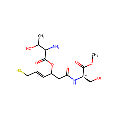 COC(=O)[C@@H](CO)NC(=O)CC(/C=C/CS)OC(=O)C(N)C(C)O